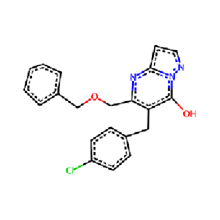 Oc1c(Cc2ccc(Cl)cc2)c(COCc2ccccc2)nc2ccnn12